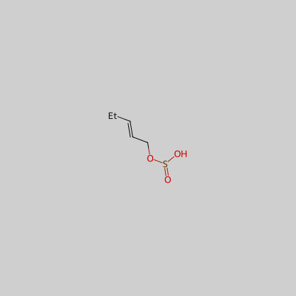 CCC=CCOS(=O)O